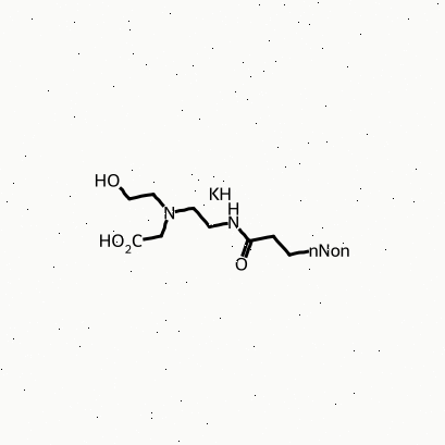 CCCCCCCCCCCC(=O)NCCN(CCO)CC(=O)O.[KH]